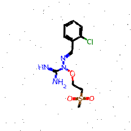 CS(=O)(=O)CCON(/N=C/c1ccccc1Cl)C(=N)N